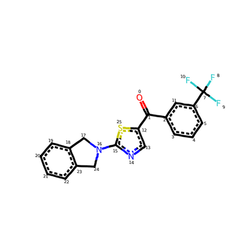 O=C(c1cccc(C(F)(F)F)c1)c1cnc(N2Cc3ccccc3C2)s1